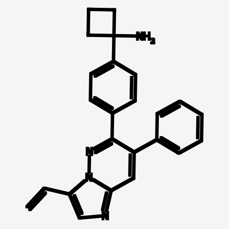 C=Cc1cnc2cc(-c3ccccc3)c(-c3ccc(C4(N)CCC4)cc3)nn12